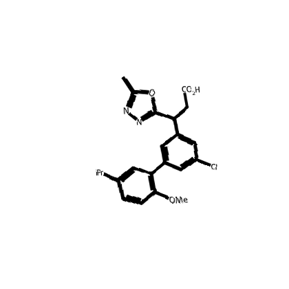 COc1ccc(C(C)C)cc1-c1cc(Cl)cc(C(CC(=O)O)c2nnc(C)o2)c1